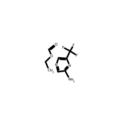 CCOC=O.Nc1cncc(C(F)(F)F)n1